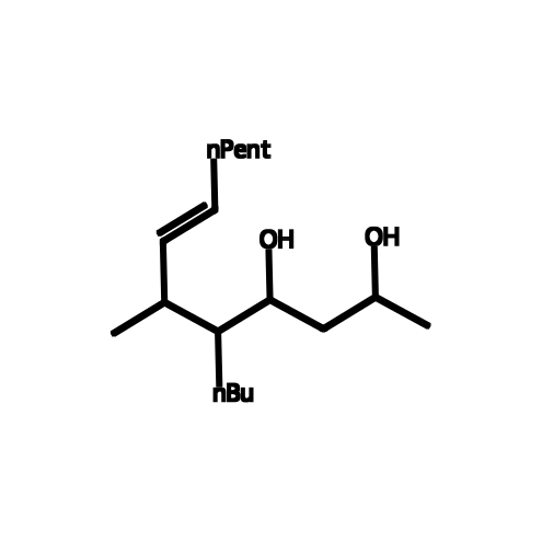 CCCCCC=CC(C)C(CCCC)C(O)CC(C)O